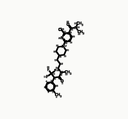 Cc1cccc(C(C(=O)N(C)CCCC2CCN(c3ccc(C(=O)N(C)C)c(Cl)n3)CC2)C(F)(F)F)c1